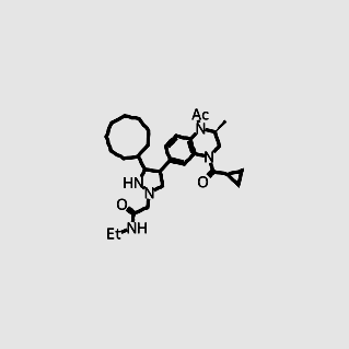 CCNC(=O)CN1CC(c2ccc3c(c2)N(C(=O)C2CC2)C[C@H](C)N3C(C)=O)C(C2CCCCCCCC2)N1